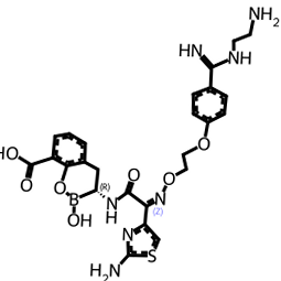 N=C(NCCN)c1ccc(OCCO/N=C(\C(=O)N[C@H]2Cc3cccc(C(=O)O)c3OB2O)c2csc(N)n2)cc1